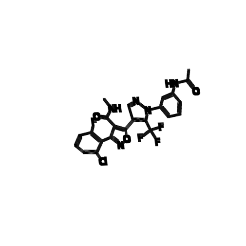 CNC(=O)c1c(-c2c(F)cccc2Cl)noc1-c1cnn(-c2cccc(NC(C)=O)c2)c1C(F)(F)F